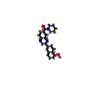 COc1cccc2cc(-c3cnc4ccc(C(=O)N5CCCCC5)cc4n3)ccc12